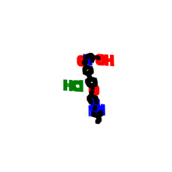 CCc1cnc(N2CCC(COc3ccc(C4=CCC(C(=O)N5CC[C@@H](CO)C5)CC4)cc3)CC2)nc1.Cl